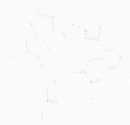 COC(=O)C1CCC(c2cc3c(N[C@H](C)c4cc(-c5ccccc5CN(C)C(=O)OC(C)(C)C)cs4)nc(C)nc3cc2OC)CC1